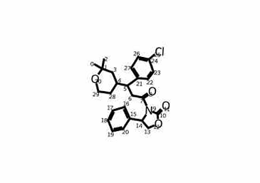 CC1(C)CC(C(CC(=O)N2C(=O)OCC2c2ccccc2)c2ccc(Cl)cc2)CCO1